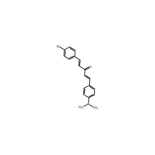 CCc1ccc(C=CC(=O)C=Cc2ccc(N(C)C)cc2)cc1